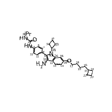 CC(C)NC(=O)Nc1ccc(-c2c(N)c3ccc(OCCCCC4CCC4)cc3n2C2CCC2)cc1